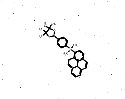 CC1(C)OB(c2ccc([Si](C)(C)c3ccc4c5c3CC=C3C=CC=C(C=C4)C35)cc2)OC1(C)C